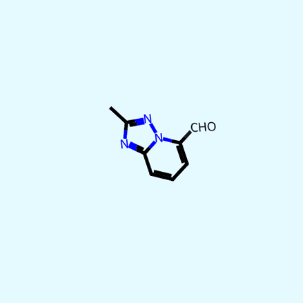 Cc1nc2cccc(C=O)n2n1